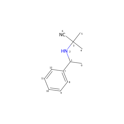 CC(NC(C)(C)C#N)c1ccccc1